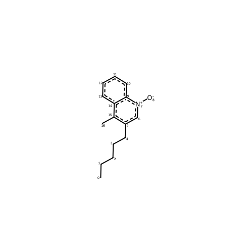 CCCCCc1c[n+]([O-])c2ccccc2c1C